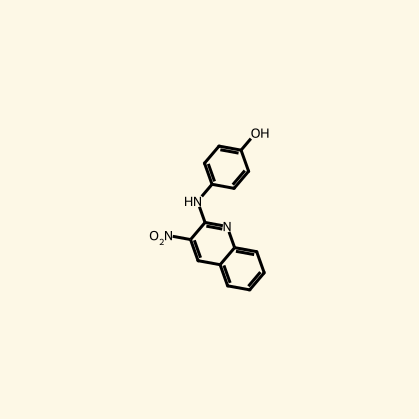 O=[N+]([O-])c1cc2ccccc2nc1Nc1ccc(O)cc1